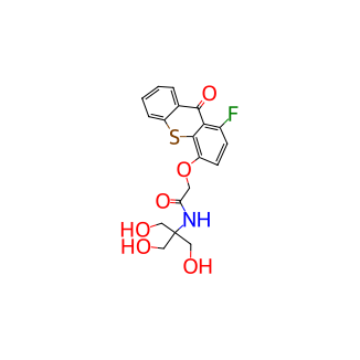 O=C(COc1ccc(F)c2c(=O)c3ccccc3sc12)NC(CO)(CO)CO